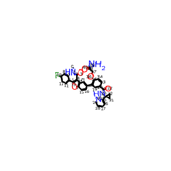 CNC(=O)c1c(-c2ccc(F)cc2)oc2ccc(-c3cc(C(=O)NC4(c5ccccn5)CC4)ccc3OCC(N)=O)cc12